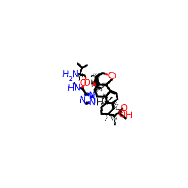 CNC(=O)c1ncnn1[C@@H]1C[C@@]23COC[C@](C)([C@@H]2CC[C@H]2C3=CC[C@@]3(C)[C@H](C(=O)O)[C@@](C)([C@H](C)C(C)C)CC[C@]23C)[C@H]1OC[C@](C)(N)C(C)C